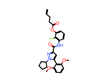 C=CCCC(=O)Oc1cccc(NC(=O)c2cc(-c3c(OC)cccc3OC)n(C3CCCC3)n2)c1F